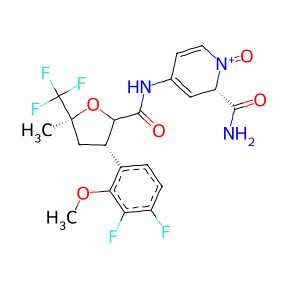 COc1c([C@@H]2C[C@@](C)(C(F)(F)F)OC2C(=O)NC2=C[C@@H](C(N)=O)[N+](=O)C=C2)ccc(F)c1F